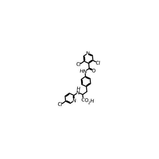 O=C(Nc1ccc(CC(Nc2ccc(Cl)cn2)C(=O)O)cc1)c1c(Cl)cncc1Cl